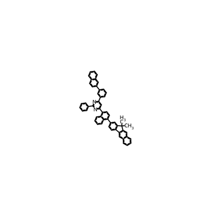 CC1(C)c2cc(-c3ccc(-c4cc(-c5cccc(-c6ccc7ccccc7c6)c5)nc(-c5ccccc5)n4)c4ccccc34)ccc2-c2cc3ccccc3cc21